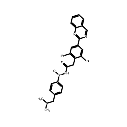 CC(C)c1cc(-c2ncc3ccccc3n2)cc(C(C)C)c1CC(=O)N[S+]([O-])c1ccc(CN(C)C)cc1